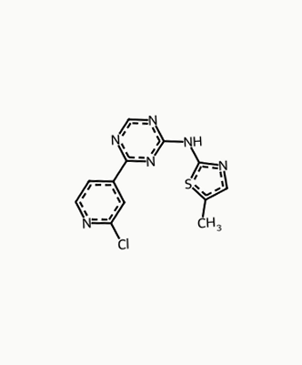 Cc1cnc(Nc2ncnc(-c3ccnc(Cl)c3)n2)s1